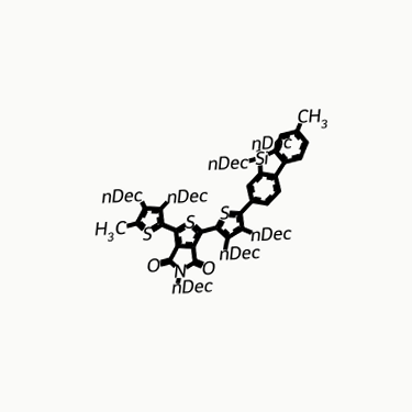 CCCCCCCCCCc1c(C)sc(-c2sc(-c3sc(-c4ccc5c(c4)[Si](CCCCCCCCCC)(CCCCCCCCCC)c4cc(C)ccc4-5)c(CCCCCCCCCC)c3CCCCCCCCCC)c3c2C(=O)N(CCCCCCCCCC)C3=O)c1CCCCCCCCCC